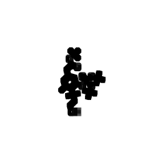 Cc1cc(CC(=O)OC(C)(C)C)cc(OP(=O)(OC(C)(C)C)OC(C)(C)C)c1C(C)(C)CCO